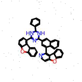 c1ccc(C2NC(c3cccc4oc5ccccc5c34)=NC(c3cc(-c4nccc5oc6ccccc6c45)c4ccccc4c3)N2)cc1